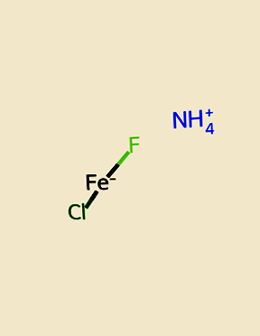 [F][Fe-][Cl].[NH4+]